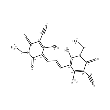 CCN1C(=O)C(C#N)=C(C)/C(=C\C=C\c2c(C)c(C#N)c(=O)n(CC)c2O)C1=O